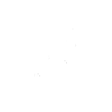 FC(F)(F)c1nc2cc[nH]c2s1